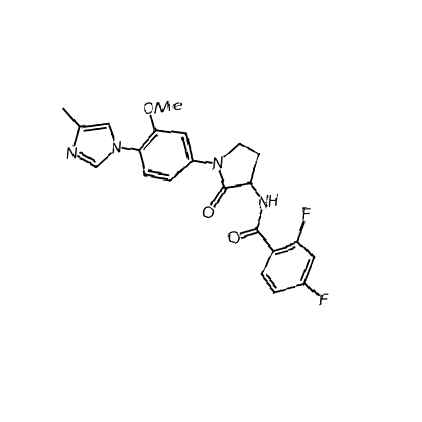 COc1cc(N2CCC(NC(=O)c3ccc(F)cc3F)C2=O)ccc1-n1cnc(C)c1